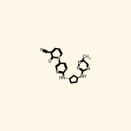 Cc1cnc(N[C@H]2CC[C@H](Nc3ccc(-n4cccc(C#N)c4=O)cn3)C2)nn1